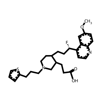 COc1ccc2nccc([C@@H](F)CCC3CCN(CCCc4cccs4)CC3CCC(=O)O)c2c1